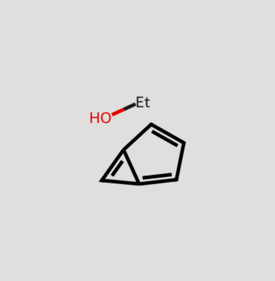 CCO.c1cc2cc-2c1